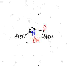 COC(=O)c1ccc(OC(C)=O)n1O